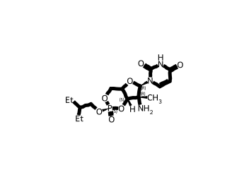 CCC(CC)CO[P@@]1(=O)OCC2O[C@@H](n3ccc(=O)[nH]c3=O)[C@](C)(N)[C@@H]2O1